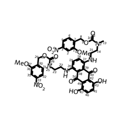 COc1cc([N+](=O)[O-])ccc1COC(=O)N(C)CCNc1ccc(NCCN(C)C(=O)OCc2ccc([N+](=O)[O-])cc2OC)c2c1C(=O)c1c(O)ccc(O)c1C2=O